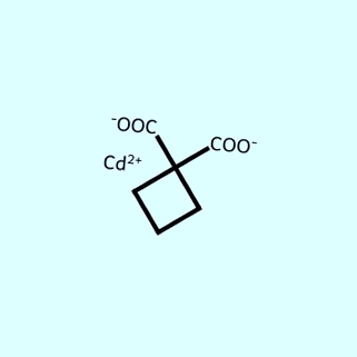 O=C([O-])C1(C(=O)[O-])CCC1.[Cd+2]